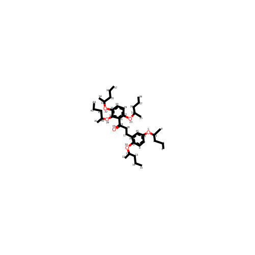 CCCC(C)Oc1ccc(OC(C)CCC)c(CCC(=O)c2c(OC(C)CCC)ccc(OC(C)CCC)c2OC(C)CCC)c1